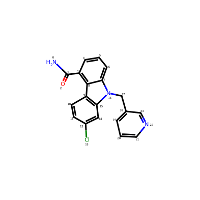 NC(=O)c1cccc2c1c1[c]cc(Cl)cc1n2Cc1cccnc1